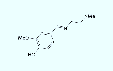 CNCC/N=C/c1ccc(O)c(OC)c1